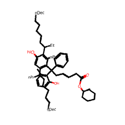 CCCCCCCCCCCCCCCC(CCC)c1cc(O)c(C(CC)CCCCCCCCCCCCCCC)c(CCC)c1C(CCCCC(=O)OC1CCCCC1)(c1ccccc1)c1c(C)cccc1O